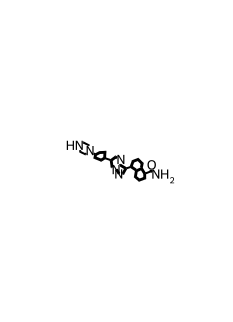 NC(=O)c1cccc2c(-c3cnn4cc(-c5ccc(N6CCNCC6)cc5)cnc34)cccc12